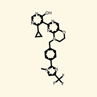 Cn1cc(C(F)(F)F)nc1-c1ccc(CN2CCOc3cnc(-c4c(O)ncnc4C4CC4)nc32)cc1